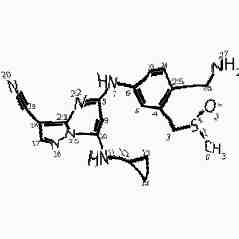 C[S+]([O-])Cc1cc(Nc2cc(NC3CC3)n3ncc(C#N)c3n2)ccc1CN